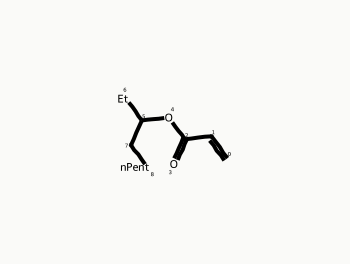 C=CC(=O)OC(CC)CCCCCC